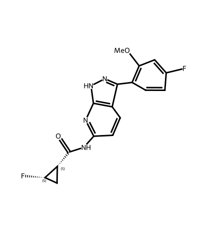 COc1cc(F)ccc1-c1n[nH]c2nc(NC(=O)[C@@H]3C[C@@H]3F)ccc12